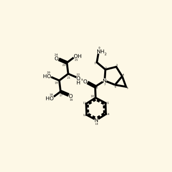 NCC1CC2CC2N1C(=O)c1ccncc1.O=C(O)C(O)C(O)C(=O)O